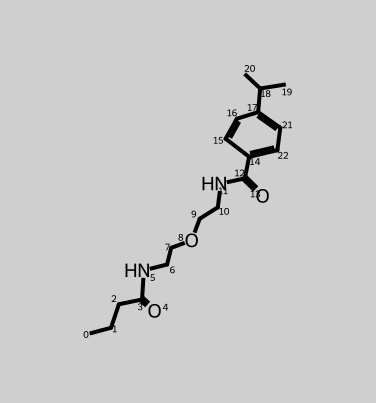 CCCC(=O)NCCOCCNC(=O)c1ccc(C(C)C)cc1